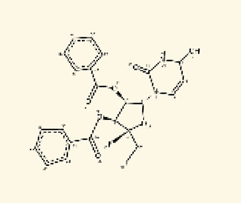 O=C(O[C@H]1[C@H](N2C=CC(O)NC2=O)O[C@](F)(CI)[C@H]1OC(=O)c1ccccc1)c1ccccc1